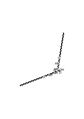 CCCCCCCCCCCCCCCCCCOCCCNCCCNC(=O)C[C@H](NCCCNCCCOCCCCCCCCCCCCCCCCCC)C(=O)O